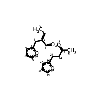 C/C=C(/C=O)Cc1ccco1.CC(=O)CCc1ccco1